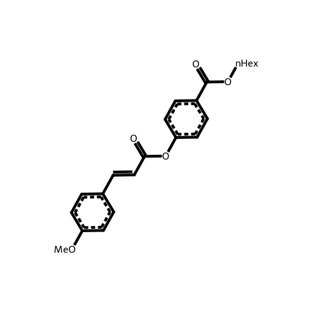 [CH2]CCCCCOC(=O)c1ccc(OC(=O)/C=C/c2ccc(OC)cc2)cc1